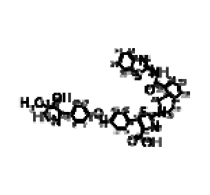 Cc1[nH]nc(-c2ccc(OCc3ccc(-c4sc(N5CCc6cccc(C(=O)Nc7nc8ccccc8s7)c6C5)nc4C(=O)O)cc3)cc2)c1O